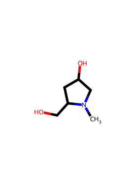 CN1CC(O)CC1CO